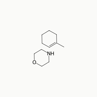 C1COCCN1.CC1=CCCCC1